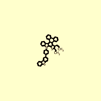 C=Cc1sc2c(c1/C=C\C)c1c3ccccc3c3ccccc3c1c1c3ccccc3n(-c3ccc(-c4ccc5sc6ccccc6c5c4)cc3)c21